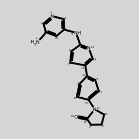 Nc1cncc(Nc2ccc(-c3ccc(N4CCCC4=O)cc3)cn2)c1